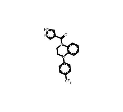 O=C(c1cn[nH]c1)N1CCN(c2ccc(C(F)(F)F)cc2)c2ccccc21